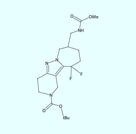 COC(=O)NCC1CCC(F)(F)c2c3c(nn2C1)CCN(C(=O)OC(C)(C)C)C3